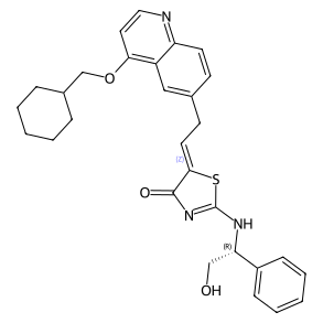 O=C1N=C(N[C@@H](CO)c2ccccc2)S/C1=C\Cc1ccc2nccc(OCC3CCCCC3)c2c1